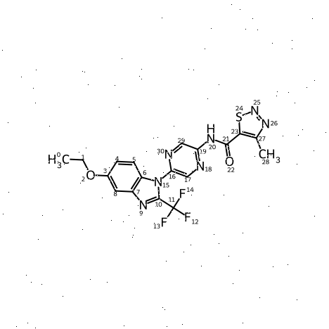 CCOc1ccc2c(c1)nc(C(F)(F)F)n2-c1cnc(NC(=O)c2snnc2C)cn1